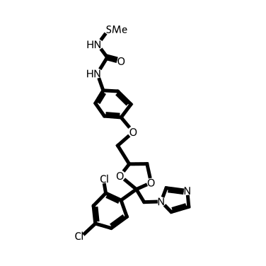 CSNC(=O)Nc1ccc(OCC2COC(Cn3ccnc3)(c3ccc(Cl)cc3Cl)O2)cc1